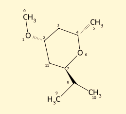 CO[C@@H]1C[C@H](C)O[C@@H](C(C)C)C1